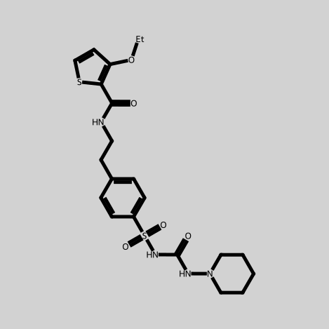 CCOc1ccsc1C(=O)NCCc1ccc(S(=O)(=O)NC(=O)NN2CCCCC2)cc1